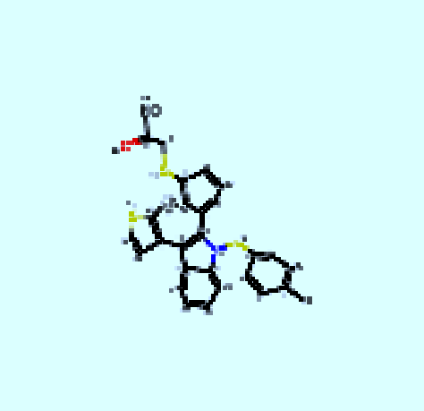 Cc1ccc(Sn2c(-c3cccc(SCC(=O)N=O)c3)c(-c3ccsc3C#N)c3ccccc32)cc1